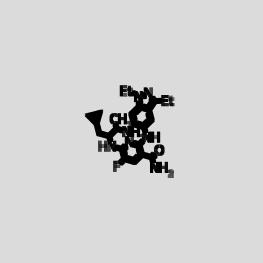 CCc1nn(CC)c2ccc(Nc3nc(NC(CC4CC4)C(C)N)c(F)cc3C(N)=O)cc12